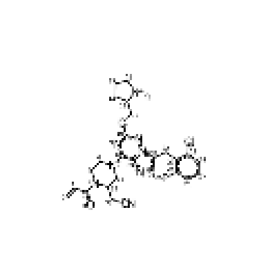 C=CC(=O)N1CCN(c2nc(OCC3CCCN3C)nn3c(Cc4c(F)cccc4Cl)cnc23)CC1CC#N